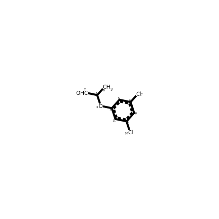 CC(C=O)Oc1cc(Cl)cc(Cl)c1